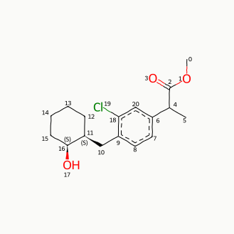 COC(=O)C(C)c1ccc(C[C@@H]2CCCC[C@@H]2O)c(Cl)c1